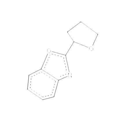 c1ccc2oc(C3CCCO3)nc2c1